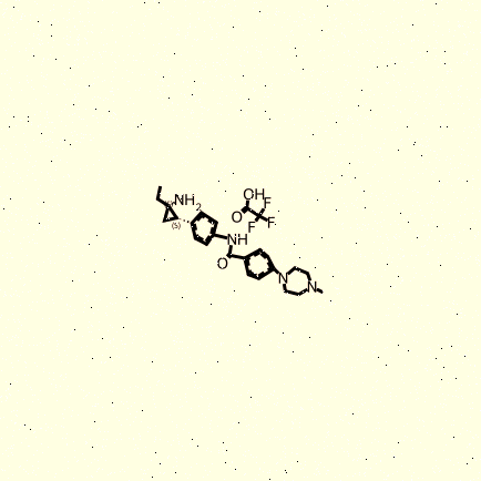 CC[C@]1(N)C[C@H]1c1ccc(NC(=O)c2ccc(N3CCN(C)CC3)cc2)cc1.O=C(O)C(F)(F)F